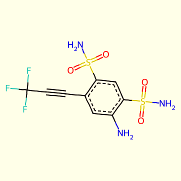 Nc1cc(C#CC(F)(F)F)c(S(N)(=O)=O)cc1S(N)(=O)=O